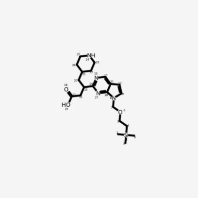 C[Si](C)(C)CCOCn1ccc2cnc(C(CC(=O)O)CC3CCNCC3)nc21